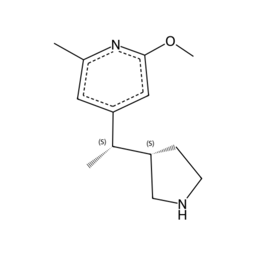 COc1cc([C@@H](C)[C@@H]2CCNC2)cc(C)n1